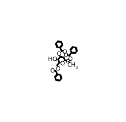 CO[C@H]1OC(COC(=O)c2ccccc2)[C@H](O)C(OC(=O)c2ccccc2)C1OC(=O)c1ccccc1